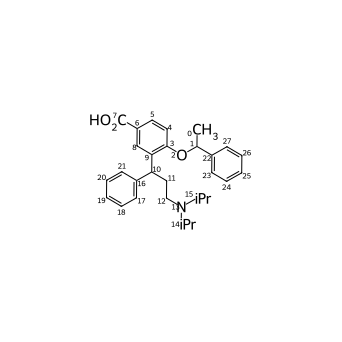 CC(Oc1ccc(C(=O)O)cc1C(CCN(C(C)C)C(C)C)c1ccccc1)c1ccccc1